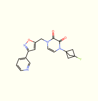 O=c1c(=O)n(C23CC(F)(C2)C3)ccn1Cc1cc(-c2cccnc2)no1